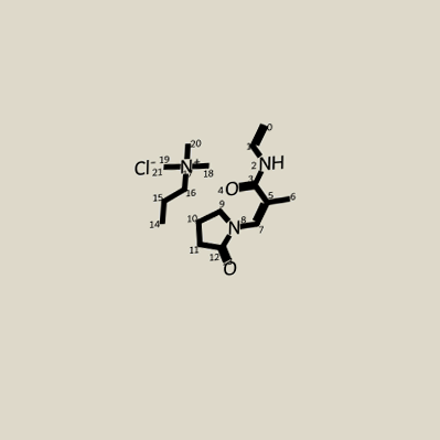 C=CNC(=O)C(C)=CN1CCCC1=O.CCC[N+](C)(C)C.[Cl-]